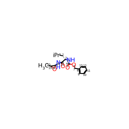 CC(C)C[C@H](NC(=O)OCc1ccccc1)C(=O)NC1OC1C